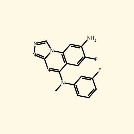 CN(c1cccc(F)c1)c1nc2nncn2c2cc(N)c(F)cc12